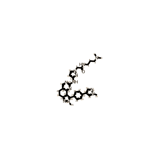 CN(C)CCCNC(=O)Cn1ccc(Nc2ncc3c(n2)-c2c(nn(C)c2-c2ccc(-c4cnn(C)c4)cc2)CC3)n1